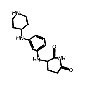 O=C1CCC(Nc2cccc(NC3CCNCC3)c2)C(=O)N1